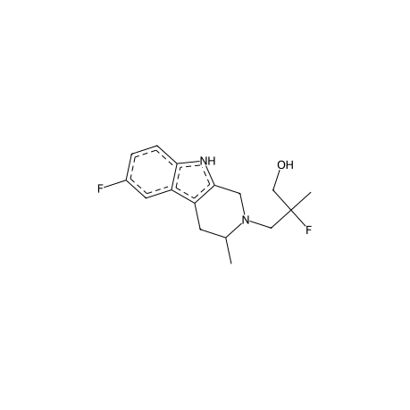 CC1Cc2c([nH]c3ccc(F)cc23)CN1CC(C)(F)CO